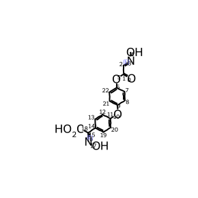 O=C(/C=N/O)Oc1ccc(Oc2ccc(/C(=N\O)C(=O)O)cc2)cc1